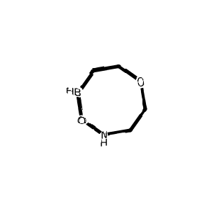 B1CCOCCNO1